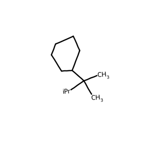 CC(C)C(C)(C)C1CCCCC1